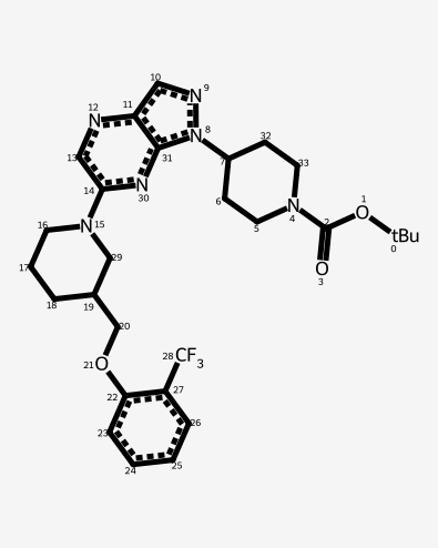 CC(C)(C)OC(=O)N1CCC(n2ncc3ncc(N4CCCC(COc5ccccc5C(F)(F)F)C4)nc32)CC1